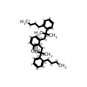 CCCCc1ccccc1C(C)(C)Cc1cccc(O)c1CC(C)(C)c1ccccc1CCCC